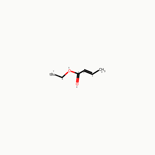 C/C=C/C(=O)OCC(C)(C)C